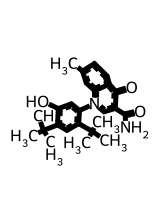 Cc1ccc2c(=O)c(C(N)=O)cn(-c3cc(O)c(C(C)(C)C)cc3C(C)(C)C)c2c1